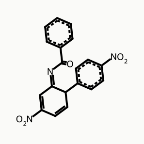 O=C(/N=C1/C=C([N+](=O)[O-])C=CC1c1ccc([N+](=O)[O-])cc1)c1ccccc1